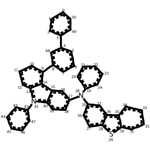 c1ccc(-c2cccc(-c3cccc4c3c3cc(N(c5ccccc5)c5ccc6sc7ccccc7c6c5)ccc3n4-c3ccccc3)c2)cc1